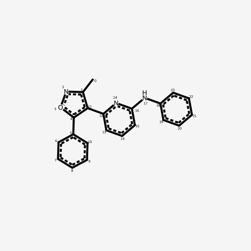 Cc1noc(-c2ccccc2)c1-c1cccc(Nc2ccccc2)n1